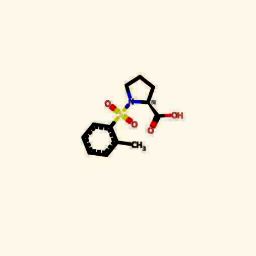 Cc1ccccc1S(=O)(=O)N1CCC[C@H]1C(=O)O